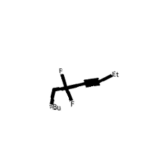 CCC#CC(F)(F)CCCCC